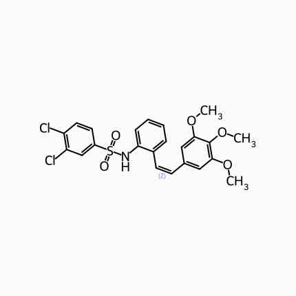 COc1cc(/C=C\c2ccccc2NS(=O)(=O)c2ccc(Cl)c(Cl)c2)cc(OC)c1OC